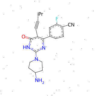 CC(C)C#Cc1c(-c2ccc(C#N)c(F)c2)nc(N2CCC(N)CC2)[nH]c1=O